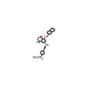 COC(=O)c1ccc(C#C[Se]c2cc(OCc3ccc4ccccc4c3)c3c(c2)C(C)(C)CCC3(C)C)cc1